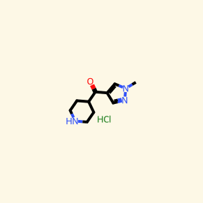 Cl.Cn1cc(C(=O)C2CCNCC2)cn1